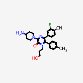 Cc1ccc(-c2c(-c3ccc(C#N)c(F)c3)nc(N3CCC(N)CC3)c(=O)n2CCCO)cc1